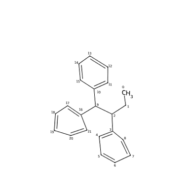 CCC(c1ccccc1)C(c1ccccc1)c1ccccc1